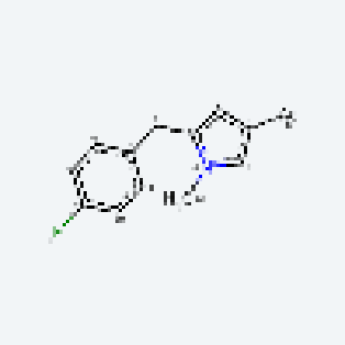 CC(=O)c1cc(Cc2ccc(F)cc2)n(C)c1